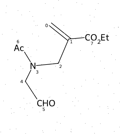 C=C(CN(CC=O)C(C)=O)C(=O)OCC